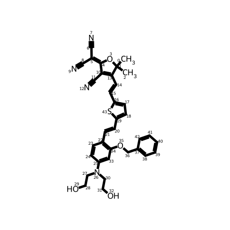 CC1(C)OC(=C(C#N)C#N)C(C#N)=C1/C=C/c1ccc(/C=C/c2ccc(N(CCO)CCO)cc2OCc2ccccc2)s1